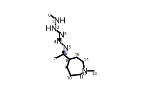 CNNN=N/N=C(\C)C1CCCN(C)CC1